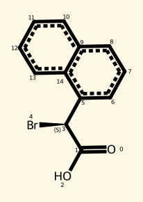 O=C(O)[C@@H](Br)c1cccc2ccccc12